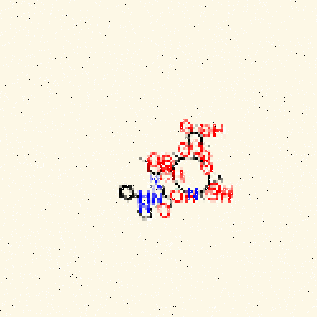 CC[C@H]1OC(=O)[C@H](C)[C@@H](O[C@H]2C[C@@](C)(OC)[C@@H](O)[C@H](C)O2)[C@H](C)[C@@H](O[C@@H]2O[C@H](C)C[C@H](N(C)CC(NC(=O)[C@@H]3CCCN3Cc3ccccc3)[C@H](C)O)[C@H]2O)[C@](C)(O)C[C@@H](C)CN(C)[C@H](C)[C@@H](O)[C@]1(C)O